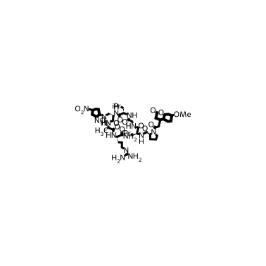 COc1ccc2c(CC(=O)N3CCC[C@H]3C(=O)N[C@@H](CC(C)C)C(=O)NCC(=O)N[C@@H](CC(C)C)C(=O)N[C@@H](CNc3ccc([N+](=O)[O-])cc3[N+](=O)[O-])C(=O)N[C@@H](C)C(=O)N[C@@H](CCCN=C(N)N)C(N)=O)cc(=O)oc2c1